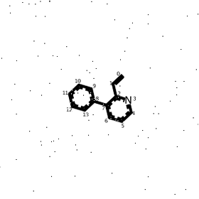 C=Cc1ncccc1-c1ccccc1